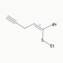 C#CC/C=C(\SCC)C(C)C